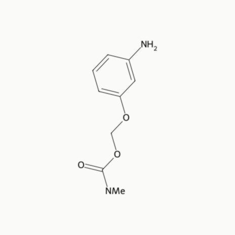 CNC(=O)OCOc1cccc(N)c1